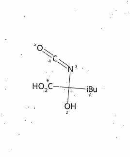 CCC(C)C(O)(N=C=O)C(=O)O